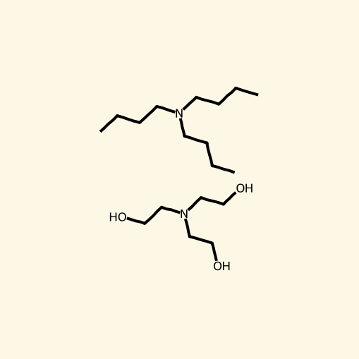 CCCCN(CCCC)CCCC.OCCN(CCO)CCO